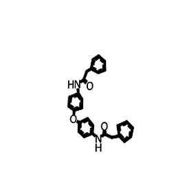 O=C(Cc1ccccc1)Nc1ccc(Oc2ccc(NC(=O)Cc3ccccc3)cc2)cc1